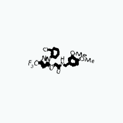 COc1ccc(CNC(=O)COc2cc(C(F)(F)F)nn2C2=C(Cl)C=CCC2)cc1OC